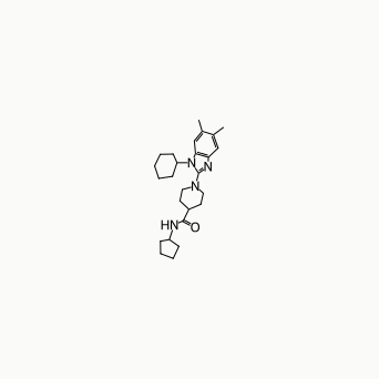 Cc1cc2nc(N3CCC(C(=O)NC4CCCC4)CC3)n(C3CCCCC3)c2cc1C